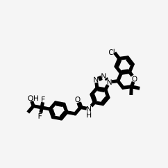 CC(O)C(F)(F)c1ccc(CC(=O)Nc2ccc3c(c2)nnn3C2CC(C)(C)Oc3ccc(Cl)cc32)cc1